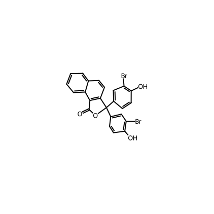 O=C1OC(c2ccc(O)c(Br)c2)(c2ccc(O)c(Br)c2)c2ccc3ccccc3c21